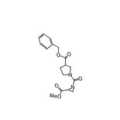 COC(=O)C1CN1C(=O)N1CCC(C(=O)OCc2ccccc2)C1